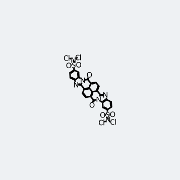 O=c1c2ccc3c4c(ccc(c24)c2nc4ccc(S(=O)(=O)N(Cl)Cl)cc4n12)c(=O)n1c2cc(S(=O)(=O)N(Cl)Cl)ccc2nc31